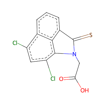 O=C(O)CN1C(=S)c2cccc3c(Cl)cc(Cl)c1c23